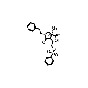 C[C@@]1(C(=O)O)CN(CCc2ccccc2)C(=O)C1CCOS(=O)(=O)c1ccccc1